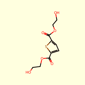 O=C(OCCO)c1ccc(C(=O)OCCO)s1